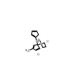 CC[Si]1([C]2([Hf+2][C]3=CC=CC3)C=CC(C)=C2)CCC1.[Cl-].[Cl-]